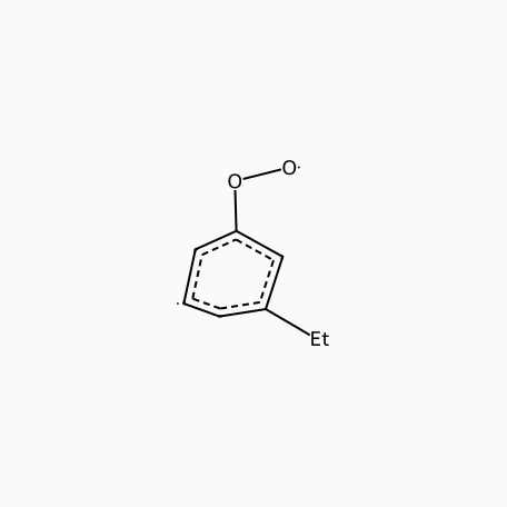 CCc1c[c]cc(O[O])c1